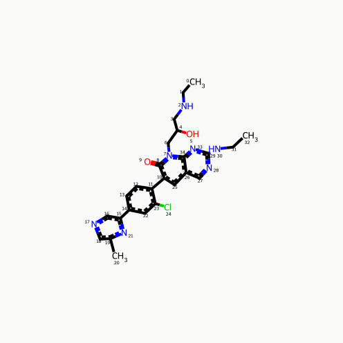 CCNCC(O)Cn1c(=O)c(-c2ccc(-c3cncc(C)n3)cc2Cl)cc2cnc(NCC)nc21